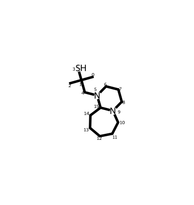 CC(C)(S)CN1CCCN2CCCCCC21